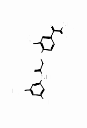 COc1cc(C(=O)C(N)=O)ccc1OCC(=O)Nc1cc(C)cc(C)c1